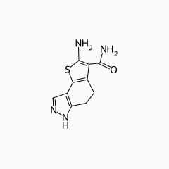 NC(=O)c1c(N)sc2c1CCc1[nH]ncc1-2